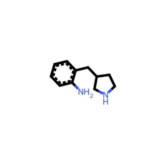 Nc1ccccc1CC1CCNC1